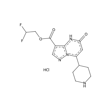 Cl.O=C(OCC(F)F)c1cnn2c(C3CCNCC3)cc(=O)[nH]c12